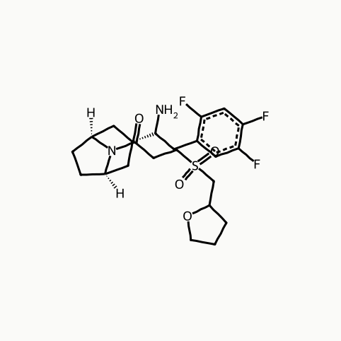 NC(Cc1cc(F)c(F)cc1F)[C@@H]1C[C@H]2CC[C@@H](C1)N2C(=O)CCS(=O)(=O)CC1CCCO1